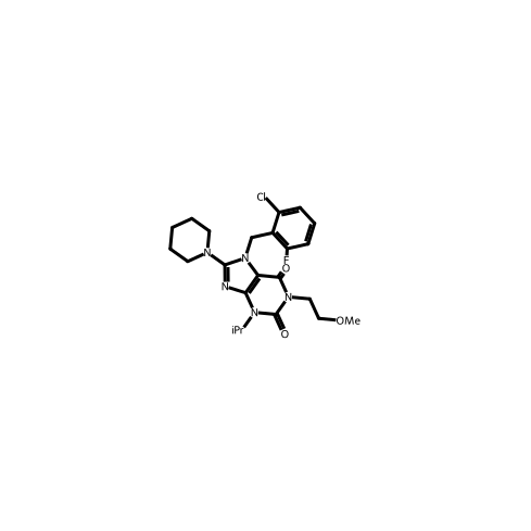 COCCn1c(=O)c2c(nc(N3CCCCC3)n2Cc2c(F)cccc2Cl)n(C(C)C)c1=O